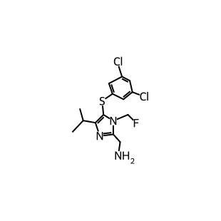 CC(C)c1nc(CN)n(CF)c1Sc1cc(Cl)cc(Cl)c1